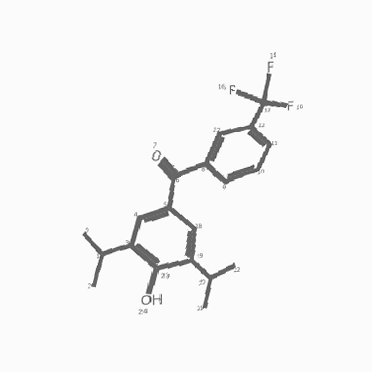 CC(C)c1cc(C(=O)c2cccc(C(F)(F)F)c2)cc(C(C)C)c1O